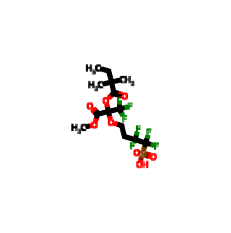 CCC(C)(C)C(=O)OC(OCCC(F)(F)C(F)(F)S(=O)(=O)O)(C(=O)OC)C(F)(F)F